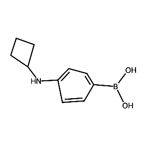 OB(O)c1ccc(NC2CCC2)cc1